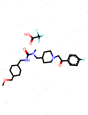 COCC1CCC(CNC(=O)N(C)CC2CCN(CC(=O)c3ccc(F)cc3)CC2)CC1.O=C(O)C(F)(F)F